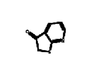 O=C1CSc2ncccc21